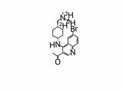 [2H]C([2H])([2H])N(C)C[C@H]1CC[C@H](Nc2c(C(C)=O)cnc3ccc(Br)cc23)CC1